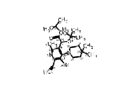 C#Cc1nc(C)c([C@H](OC(C)(C)C)C(=O)OC(C)C)c(N2CCC(C)(C)CC2)c1Br